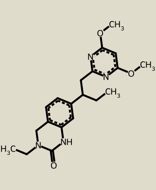 CCC(Cc1nc(OC)cc(OC)n1)c1ccc2c(c1)NC(=O)N(CC)C2